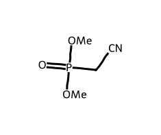 COP(=O)(CC#N)OC